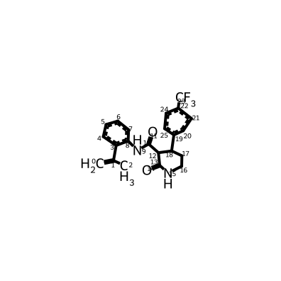 C=C(C)c1ccccc1NC(=O)C1C(=O)NCCC1c1ccc(C(F)(F)F)cc1